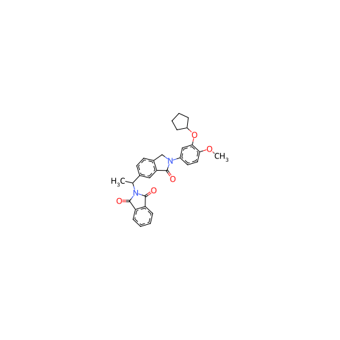 COc1ccc(N2Cc3ccc(C(C)N4C(=O)c5ccccc5C4=O)cc3C2=O)cc1OC1CCCC1